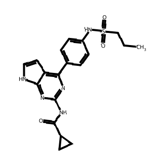 CCCS(=O)(=O)Nc1ccc(-c2nc(NC(=O)C3CC3)nc3[nH]ccc23)cc1